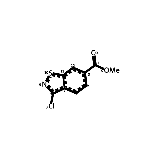 COC(=O)c1ccc2c(Cl)nsc2c1